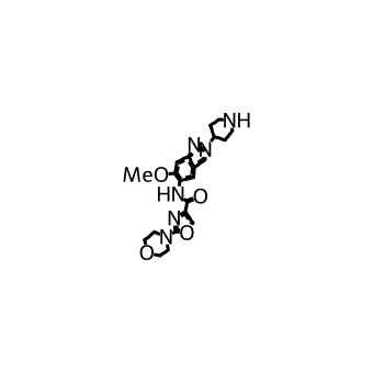 COc1cc2nn(C3CCNCC3)cc2cc1NC(=O)c1coc(N2CCOCC2)n1